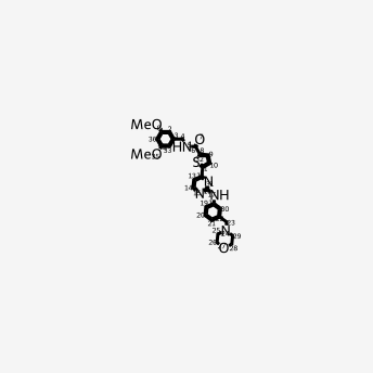 COc1cc(CNC(=O)c2ccc(-c3ccnc(Nc4cccc(CN5CCOCC5)c4)n3)s2)cc(OC)c1